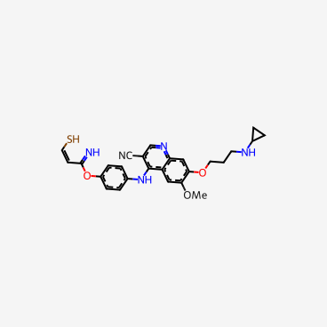 COc1cc2c(Nc3ccc(OC(=N)/C=C\S)cc3)c(C#N)cnc2cc1OCCCNC1CC1